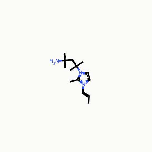 C/C=C/[n+]1ccn(C(C)(C)CC(C)(C)N)c1C